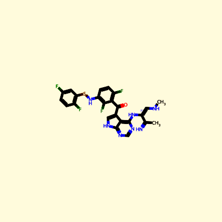 CN/C=C(/Nc1ncnc2[nH]cc(C(=O)c3c(F)ccc(NSc4cc(F)ccc4F)c3F)c12)C(C)=N